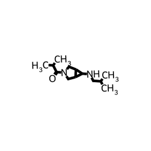 CC(C)CNC1C2CN(C(=O)C(C)C)CC21